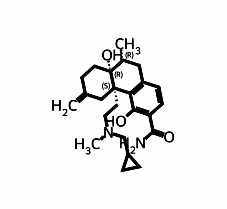 C=C1CC[C@@]2(O)[C@H](C)Cc3ccc(C(N)=O)c(O)c3[C@@]2(CCN(C)CC2CC2)C1